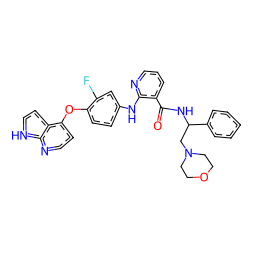 O=C(NC(CN1CCOCC1)c1ccccc1)c1cccnc1Nc1ccc(Oc2ccnc3[nH]ccc23)c(F)c1